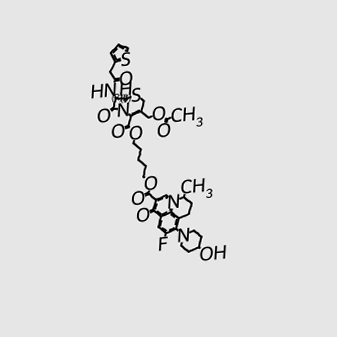 CC(=O)OCC1=C(C(=O)OCCCCCOC(=O)c2cn3c4c(c(N5CCC(O)CC5)c(F)cc4c2=O)CCC3C)N2C(=O)[C@@H](NC(=O)Cc3cccs3)[C@H]2SC1